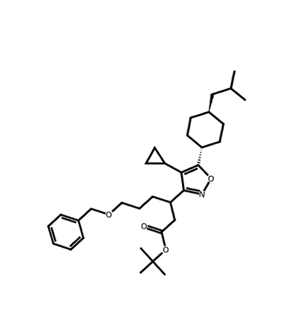 CC(C)C[C@H]1CC[C@H](c2onc(C(CCCOCc3ccccc3)CC(=O)OC(C)(C)C)c2C2CC2)CC1